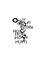 COC(=O)[C@@H](NP(=O)(OC[C@H]1OC[C@@](O)(n2cnc(C(N)=O)c2O)[C@@H]1O)Oc1ccccc1)C(C)C